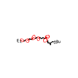 CCOCCOCCOCCOCCCC(=O)OCCC(C)CC(C)(C)C